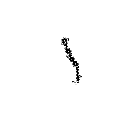 C=COC(=O)CCCCCOc1ccc(-c2ccc(C(=O)Oc3ccc(OCCCN4C(=O)C=CC4=O)cc3)cc2)cc1